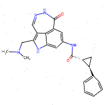 CN(C)Cc1[nH]c2cc(NC(=O)[C@@H]3C[C@H]3c3ccccc3)cc3c2c1C=NNC3=O